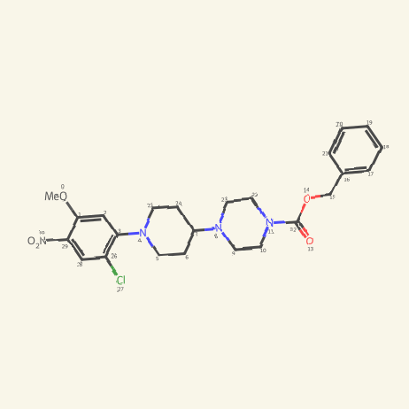 COc1cc(N2CCC(N3CCN(C(=O)OCc4ccccc4)CC3)CC2)c(Cl)cc1[N+](=O)[O-]